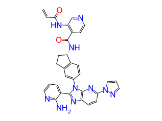 C=CC(=O)Nc1cnccc1C(=O)N[C@H]1CCc2cc(-n3c(-c4cccnc4N)nc4ccc(-n5cccn5)nc43)ccc21